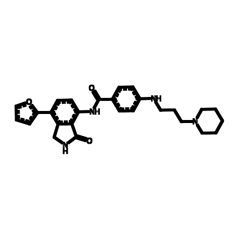 O=C(Nc1ccc(-c2ccco2)c2c1C(=O)NC2)c1ccc(NCCCN2CCCCC2)cc1